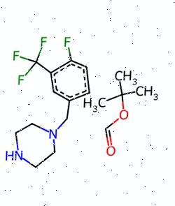 CC(C)(C)OC=O.Fc1ccc(CN2CCNCC2)cc1C(F)(F)F